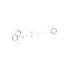 COc1ccc2nccc([C@H](O)CC[C@@H]3CCN(CCCSc4cccc(Cl)c4Cl)C[C@@H]3C(=O)O)c2c1